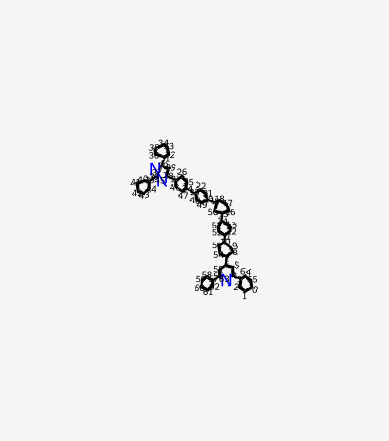 c1ccc(-c2cc(-c3ccc(-c4ccc(-c5cccc(-c6ccc(-c7ccc(-c8cc(-c9ccccc9)nc(-c9ccccc9)n8)cc7)cc6)c5)cc4)cc3)cc(-c3ccccc3)n2)cc1